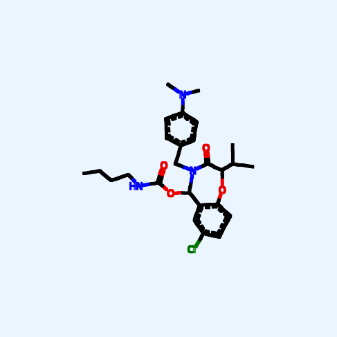 CCCCNC(=O)OC1c2cc(Cl)ccc2OC(C(C)C)C(=O)N1Cc1ccc(N(C)C)cc1